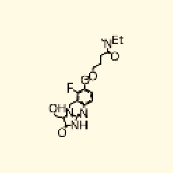 CCN(C)C(=O)CCCOOc1ccc2c(c1F)CN1C(=N2)NC(=O)C1CO